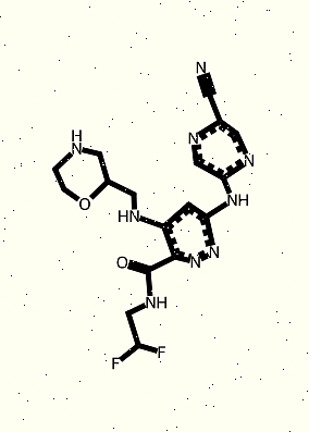 N#Cc1cnc(Nc2cc(NCC3CNCCO3)c(C(=O)NCC(F)F)nn2)cn1